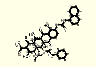 C[C@@H]1c2ccc(NC(=O)Nc3cccc4ccccc34)c(O)c2C(=O)C2=C(O)[C@@]3(O)C(=O)C(C(N)=O)=C(O)[C@H](N(C)C)[C@H]3[C@H](OC(=O)Nc3ccccc3)[C@H]21